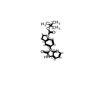 CC(C)(C)OC(=O)N1CCc2cc(-n3c(=O)[nH]c4cccnc43)ccc21